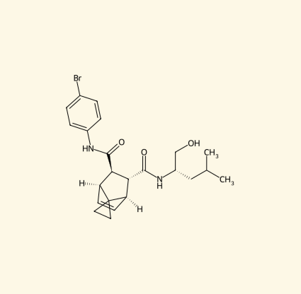 CC(C)C[C@@H](CO)NC(=O)[C@H]1[C@H](C(=O)Nc2ccc(Br)cc2)[C@@H]2C=C[C@H]1C21CC1